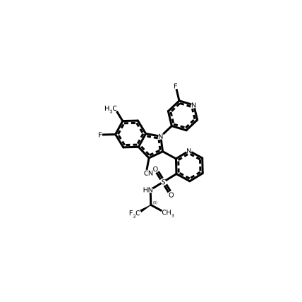 Cc1cc2c(cc1F)c(C#N)c(-c1ncccc1S(=O)(=O)N[C@@H](C)C(F)(F)F)n2-c1ccnc(F)c1